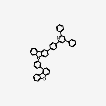 c1ccc(-c2cc(-c3ccccc3)nc(-c3ccc(-c4ccc5c(c4)c4ccccc4n5-c4cccc(-c5cccc6oc7ccccc7c56)c4)cc3)c2)cc1